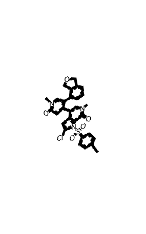 Cc1ccc(S(=O)(=O)n2c(Cl)cc3c(-c4cc(=O)n(C)cc4-c4cccc5c4COC5)cn(C)c(=O)c32)cc1